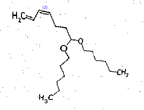 C=C/C=C\CCC(OCCCCCC)OCCCCCC